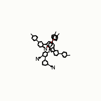 Cc1ccc(-c2ccc3c(c2)c2cc(-c4ccc(C)cc4)ccc2n3-c2cc(C#N)c(-c3cccc(C#N)c3)cc2-n2c3ccc(-c4ccc(C)cc4)cc3c3cc(-c4ccc(C)cc4)ccc32)cc1